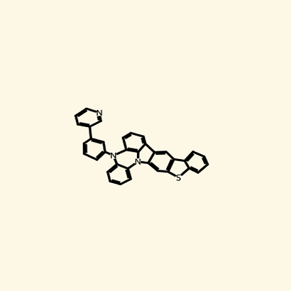 c1cncc(-c2cccc(N3c4ccccc4-n4c5cc6sc7ccccc7c6cc5c5cccc3c54)c2)c1